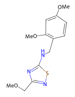 COCc1nsc(NCc2ccc(OC)cc2OC)n1